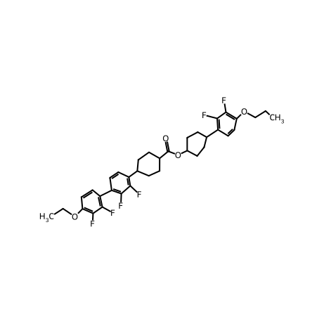 CCCOc1ccc(C2CCC(OC(=O)C3CCC(c4ccc(-c5ccc(OCC)c(F)c5F)c(F)c4F)CC3)CC2)c(F)c1F